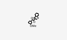 COc1cccc(C(O)C(=O)c2cnc3ccccc3c2)c1